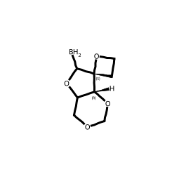 BC1OC2COCO[C@H]2[C@]12CCO2